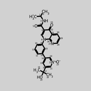 CC(C)NC(=O)c1cn(-c2cccc(-c3cc(C(C)(C)O)c[n+]([O-])c3)c2)c2ncccc2c1=O